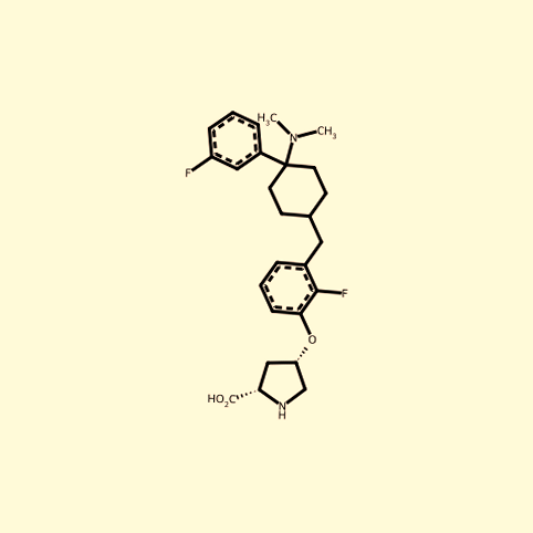 CN(C)C1(c2cccc(F)c2)CCC(Cc2cccc(O[C@@H]3CN[C@H](C(=O)O)C3)c2F)CC1